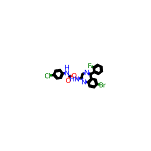 O=C(Nc1ccc(Cl)cc1)ONC1=Nc2ccc(Br)cc2C(c2ccccc2F)=NC1